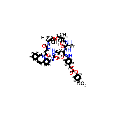 CC(C)[C@H](NC(=O)CC(C)(C)COCC(C)(C)CNC(=O)CCC(=O)N1Cc2ccccc2C#Cc2ccccc21)C(=O)N[C@@H](CCCNC(N)=O)C(=O)Nc1ccc(COC(=O)Oc2ccc([N+](=O)[O-])cc2)cc1